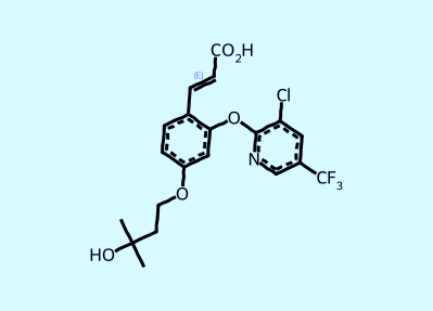 CC(C)(O)CCOc1ccc(/C=C/C(=O)O)c(Oc2ncc(C(F)(F)F)cc2Cl)c1